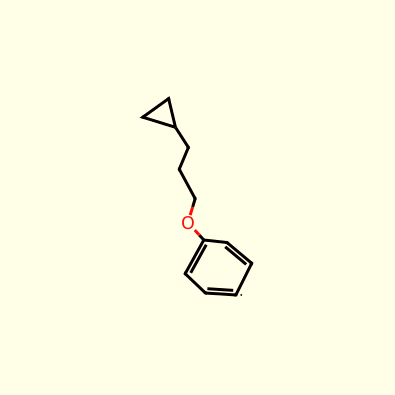 [c]1ccc(OCCCC2CC2)cc1